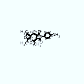 CC(C)=C1C(=O)N(c2ccc(N)cc2)C(=O)/C1=C(/c1cc(C)oc1C)C(C)C